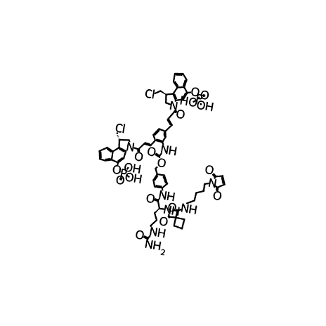 NC(=O)NCCC[C@H](NC(=O)C1(C(=O)NCCCCCN2C(=O)C=CC2=O)CCC1)C(=O)Nc1ccc(COC(=O)Nc2cc(/C=C/C(=O)N3C[C@@H](CCl)c4c3cc(OP(=O)(O)O)c3ccccc43)ccc2/C=C/C(=O)N2C[C@@H](CCl)c3c2cc(OP(=O)(O)O)c2ccccc32)cc1